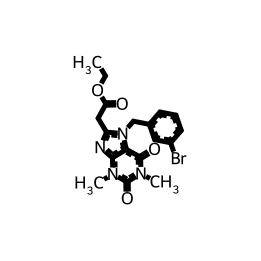 CCOC(=O)Cc1nc2c(c(=O)n(C)c(=O)n2C)n1Cc1cccc(Br)c1